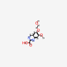 COCCOc1cc2cnc(C(=O)O)nc2cc1OC